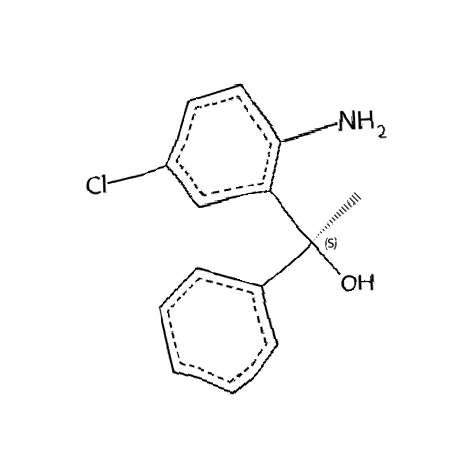 C[C@](O)(c1ccccc1)c1cc(Cl)ccc1N